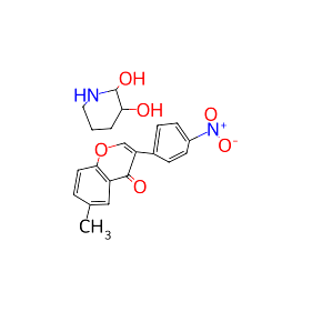 Cc1ccc2occ(-c3ccc([N+](=O)[O-])cc3)c(=O)c2c1.OC1CCCNC1O